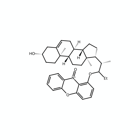 CCC(Oc1cccc2oc3ccccc3[n+](=O)c12)[C@@H](C)[C@H]1CC[C@H]2[C@@H]3CC=C4C[C@@H](O)CC[C@]4(C)[C@H]3CC[C@]12C